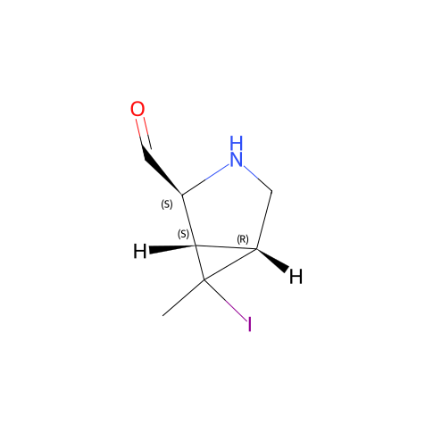 CC1(I)[C@@H]2[C@@H](C=O)NC[C@@H]21